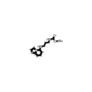 CC(C)(C)OC(=O)NCCCNc1cccc2nccn12